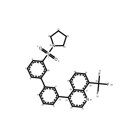 O=S(=O)(c1cccc(-c2cccc(-c3ccnc4c(C(F)(F)F)cccc34)c2)c1)N1CCCC1